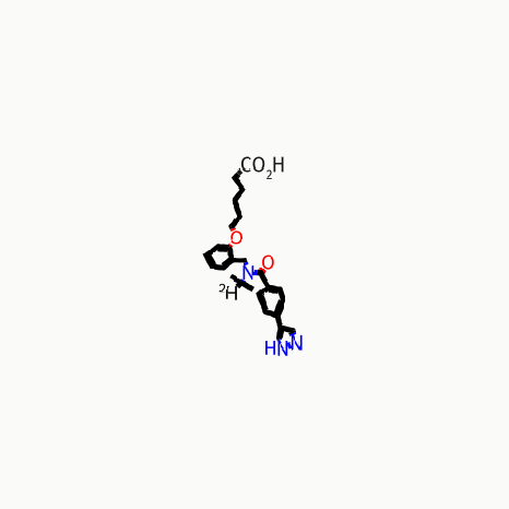 [2H]C(C)(C)N(Cc1ccccc1OCCCCCC(=O)O)C(=O)c1ccc(-c2cn[nH]c2)cc1